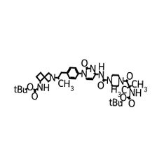 CC(Cc1ccc(-n2ccc(NC(=O)N3CCN(C(=O)C(C)(C)NC(=O)OC(C)(C)C)CC3)nc2=O)cc1)N1CC2(CCC2NC(=O)OC(C)(C)C)C1